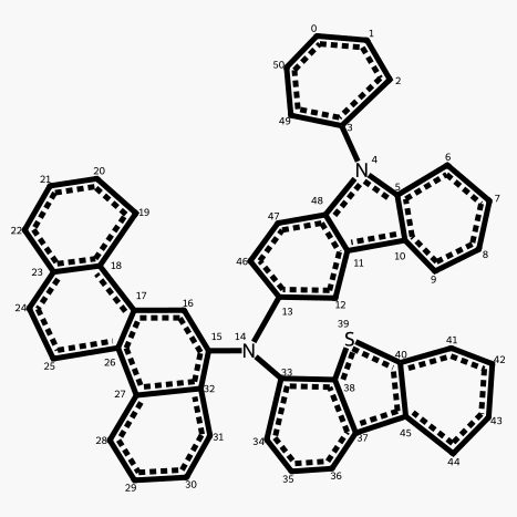 c1ccc(-n2c3ccccc3c3cc(N(c4cc5c6ccccc6ccc5c5ccccc45)c4cccc5c4sc4ccccc45)ccc32)cc1